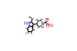 CCc1[nH]c2cc(F)ccc2c1C1CCN(C(=O)O)CC1